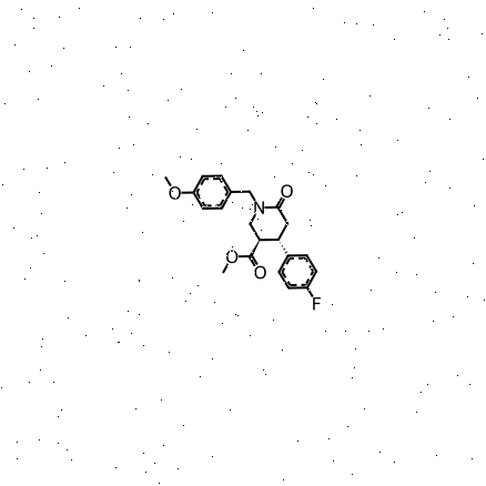 COC(=O)[C@H]1CN(Cc2ccc(OC)cc2)C(=O)C[C@@H]1c1ccc(F)cc1